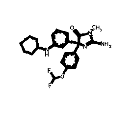 CN1C(=O)C(c2ccc(OC(F)F)cc2)(c2cccc(NC3CCCCC3)c2)N=C1N